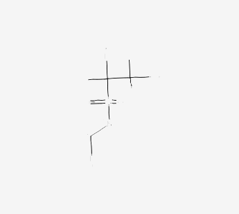 O=S(=O)(NCF)C(F)(F)C(F)(F)F